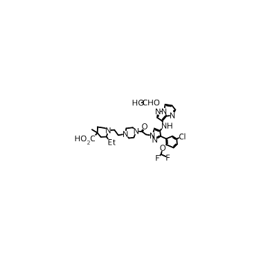 CCC1CC(C)(C(=O)O)CCN1CCN1CCN(C(=O)Cn2cc(Nc3cnn4cccnc34)c(-c3cc(Cl)ccc3OC(F)F)n2)CC1.O=CO